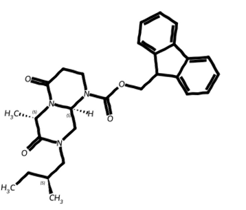 CC[C@H](C)CN1C[C@@H]2N(C(=O)OCC3c4ccccc4-c4ccccc43)CCC(=O)N2[C@@H](C)C1=O